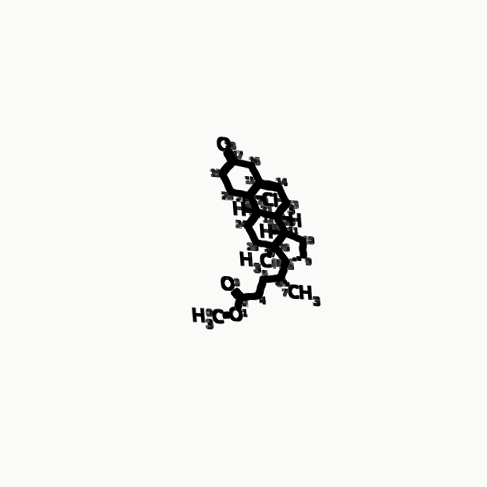 COC(=O)CC[C@@H](C)[C@H]1CC[C@H]2[C@@H]3CC=C4CC(=O)CC[C@]4(C)[C@H]3CC[C@]12C